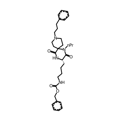 CCCN1C(=O)[C@H](CCCCNC(=O)OCc2ccccc2)NC(=O)C12CCN(CCCc1ccccc1)CC2